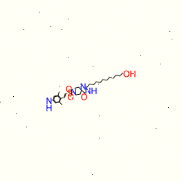 CNc1cc(C)c(C=CS(=O)(=O)N2CCC3(CC2)N=C(CCCCCCCCCCCO)NC3=O)c(C)c1